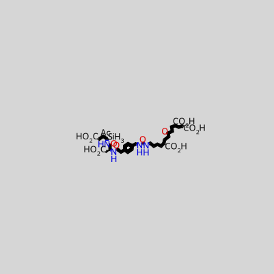 CC(=O)[C@H](CC(=O)O)C([SiH3])NC(=O)[C@H](CC(=O)O)NC(=O)Cc1ccc(CNC(=O)NCCCC[C@H](CCC(=O)CC[C@@H](CCC(=O)O)C(=O)O)C(=O)O)cc1